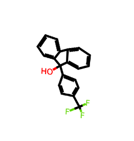 OC1(c2ccc(C(F)(F)F)cc2)c2ccccc2-c2ccccc21